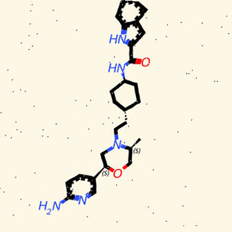 C[C@H]1CO[C@@H](c2ccc(N)nc2)CN1CC[C@H]1CC[C@H](NC(=O)c2cc3ccccc3[nH]2)CC1